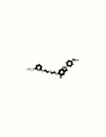 O=C(O)c1cccc(OCCOCCOc2cc3nn([C@H]4CC[C@H](CO)CC4)cc3cc2Br)n1